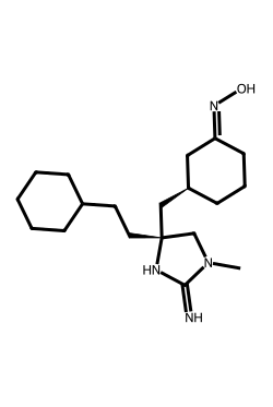 CN1C[C@@](CCC2CCCCC2)(C[C@@H]2CCCC(=NO)C2)NC1=N